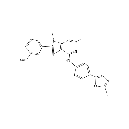 COc1cccc(-c2nc3c(Nc4ccc(-c5cnc(C)o5)cc4)nc(C)cc3n2C)c1